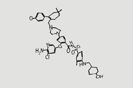 Cc1cc(S(=O)(=O)NC(=O)c2ccc(N3CCN(CC4=C(c5ccc(Cl)cc5)CC(C)(C)CC4)CC3)cc2Oc2cnc(N)c(Cl)c2)ccc1NCC1CCC(O)CC1